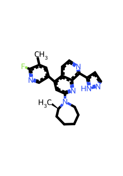 Cc1cc(-c2cc(N3CCCCC[C@H]3C)nc3c(-c4ccn[nH]4)nccc23)cnc1F